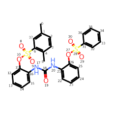 Cc1ccc(C)c(S(=O)(=O)Oc2ccccc2NC(=O)Nc2ccccc2OS(=O)(=O)c2ccccc2)c1